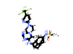 CC(/C(=N\C#N)NC1C2CC3CC1CC(NS(C)(=O)=O)(C3)C2)N1CCN(c2ccc(C(F)(F)F)cn2)CC1